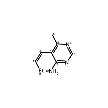 CC/C=C\c1c(C)ncnc1N